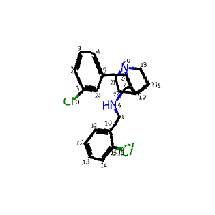 Clc1cccc(C2C(NCc3ccccc3Cl)C3CCN2CC3)c1